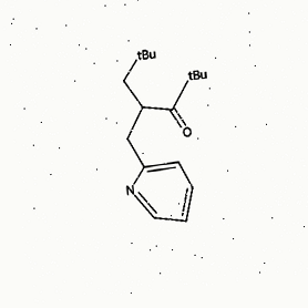 CC(C)(C)CC(Cc1ccccn1)C(=O)C(C)(C)C